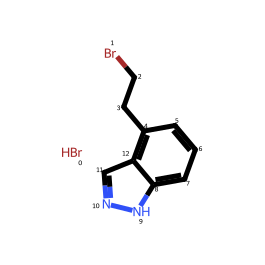 Br.BrCCc1cccc2[nH]ncc12